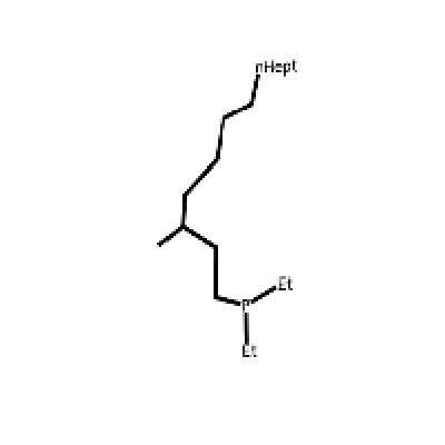 CCCCCCCCCCCC(C)CCP(CC)CC